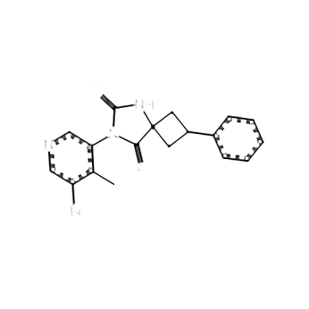 Cc1c(Br)cncc1N1C(=O)NC2(CC(c3ccccc3)C2)C1=O